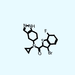 O=C(C1SC2=C(C=CCC2F)C1Br)N(C1CC1)C1CCc2[nH]ncc2C1